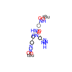 CC(C)(C)OC(=O)NC[C@H]1CC[C@H](C(=O)N[C@@H](Cc2ccc(-c3ccc(N4CCN(C(=O)OC(C)(C)C)CC4)cc3)cc2)C(=O)Nc2ccc(-c3nn[nH]n3)cc2)CC1